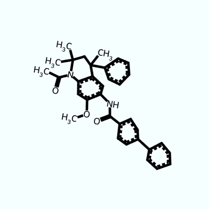 COc1cc2c(cc1NC(=O)c1ccc(-c3ccccc3)cc1)C(C)(c1ccccc1)CC(C)(C)N2C(C)=O